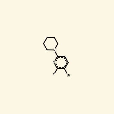 Fc1nc(N2CCCCC2)ccc1Br